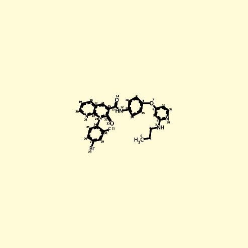 CCCNc1cc(Oc2ccc(NC(=O)c3cc4cccnc4n(-c4ccc(Br)cc4F)c3=O)cc2)ccn1